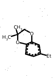 CCc1ccc2c(c1)OCC(C)(C)O2